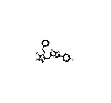 Fc1ccc(-c2cn3c(Cc4n[nH]c(=S)n4CCc4ccccc4)csc3n2)cc1